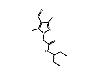 CCC(CC)NC(=O)Cn1nc(C)c(C=O)c1C